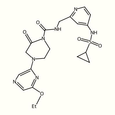 CCOc1cncc(N2CCN(C(=O)NCc3cc(NS(=O)(=O)C4CC4)ccn3)C(=O)C2)n1